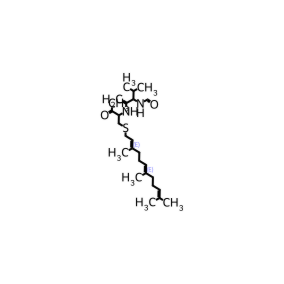 C=C(NC(CSC/C=C(\C)CC/C=C(\C)CCC=C(C)C)C(C)=O)C(NC=O)C(C)C